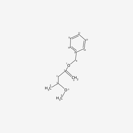 C=C(CC(C)OC)OCc1ccccc1